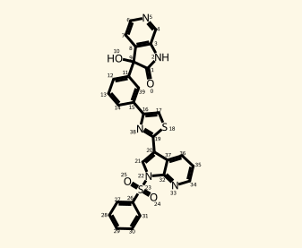 O=C1Nc2cnccc2C1(O)c1cccc(-c2csc(-c3cn(S(=O)(=O)c4ccccc4)c4ncccc34)n2)c1